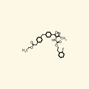 CCOC(=O)Cc1ccc(Cc2ccc(-c3onc(C)c3NC(=O)OCCc3ccccc3F)cc2)cc1